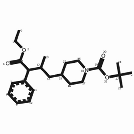 CCOC(=O)C(c1ccccc1)C(C)CC1CCN(C(=O)OC(C)(C)C)CC1